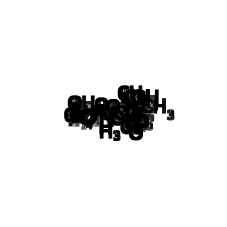 C=C[C@]1(C)C[C@@H](OC(=O)NC(=O)c2ccc3c(c2)B(O)OC3)[C@]2(C)[C@H](C)CC[C@]3(CCC(=O)[C@H]32)[C@@H](C)[C@@H]1O